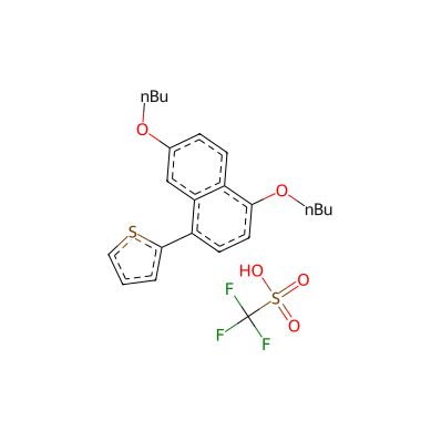 CCCCOc1ccc2c(OCCCC)ccc(-c3cccs3)c2c1.O=S(=O)(O)C(F)(F)F